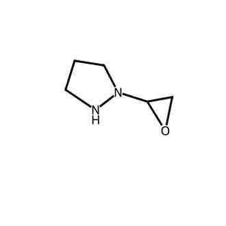 C1CNN(C2CO2)C1